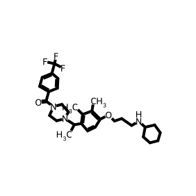 Cc1c(OCCCNC2CCCCC2)ccc(C(C)N2CCN(C(=O)c3ccc(C(F)(F)F)cc3)CC2)c1C